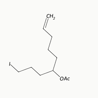 C=CCCCC(CCCI)OC(C)=O